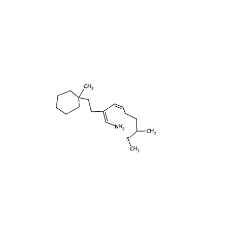 CSC(C)CC/C=C\C(=C/N)CCC1(C)CCCCC1